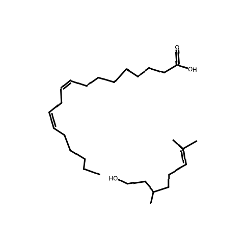 CC(C)=CCCC(C)CCO.CCCCC/C=C\C/C=C\CCCCCCCC(=O)O